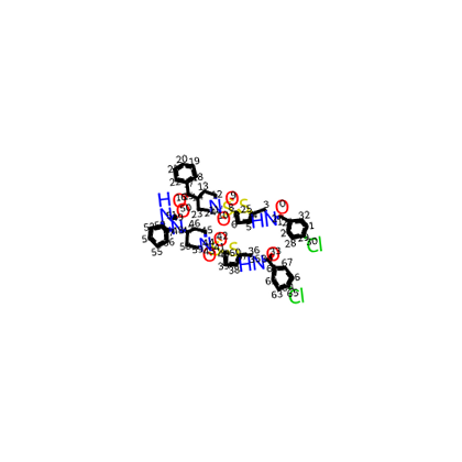 O=C(NCc1ccc(S(=O)(=O)N2CCC(C(=O)c3ccccc3)CC2)s1)c1ccc(Cl)cc1.O=C(NCc1ccc(S(=O)(=O)N2CCC(n3c(=O)[nH]c4ccccc43)CC2)s1)c1ccc(Cl)cc1